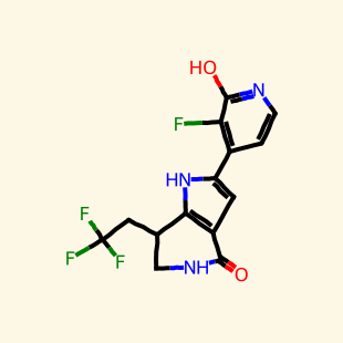 O=C1NCC(CC(F)(F)F)c2[nH]c(-c3ccnc(O)c3F)cc21